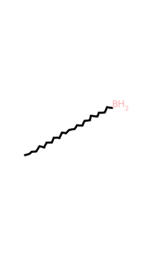 BCCCCCCCCCCCCCCCCCCCCCCCC